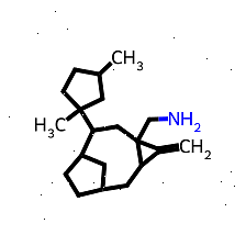 C=C1C2CC3CCC(C3)C(C3(C)CCC(C)C3)CC12CN